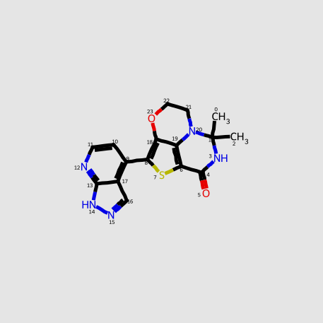 CC1(C)NC(=O)c2sc(-c3ccnc4[nH]ncc34)c3c2N1CCO3